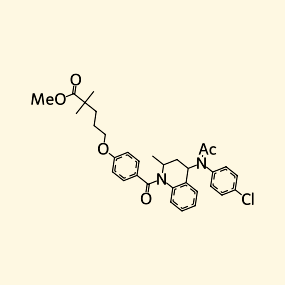 COC(=O)C(C)(C)CCCOc1ccc(C(=O)N2c3ccccc3C(N(C(C)=O)c3ccc(Cl)cc3)CC2C)cc1